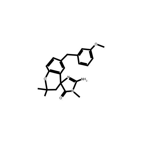 COc1cccc(Cc2ccc3c(c2)C2(CC(C)(C)O3)N=C(N)N(C)C2=O)c1